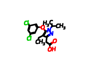 CCc1c(CC(=O)O)nn(C(C)C)c1Oc1cc(Cl)cc(Cl)c1